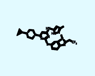 Cc1cc(Nc2cc(N3CCN(C4CC4)CC3)nc(Sc3ccc4nc(CC(F)(F)F)n(C)c4c3)n2)[nH]n1